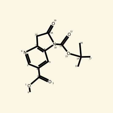 COC(=O)c1cnc2c(c1)N(C(=O)OC(C)(C)C)C(=O)C2